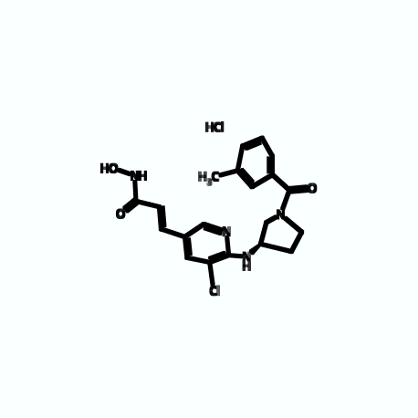 Cc1cccc(C(=O)N2CC[C@@H](Nc3ncc(C=CC(=O)NO)cc3Cl)C2)c1.Cl